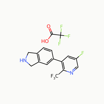 Fc1cnc(C(F)(F)F)c(-c2ccc3c(c2)CNC3)c1.O=C(O)C(F)(F)F